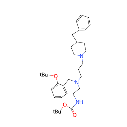 CC(C)(C)OC(=O)NCCN(CCCN1CCC(Cc2ccccc2)CC1)Cc1ccccc1OC(C)(C)C